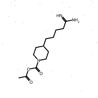 CC(=O)OC(=O)N1CCC(CCCCC(=N)N)CC1